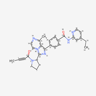 CC#CC(=O)N1CCCC1c1nc(-c2ccc(C(=O)Nc3cc(CC)ccn3)cc2)c2c(C)nccn12